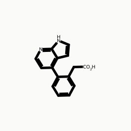 O=C(O)Cc1ccccc1-c1ccnc2[nH]ccc12